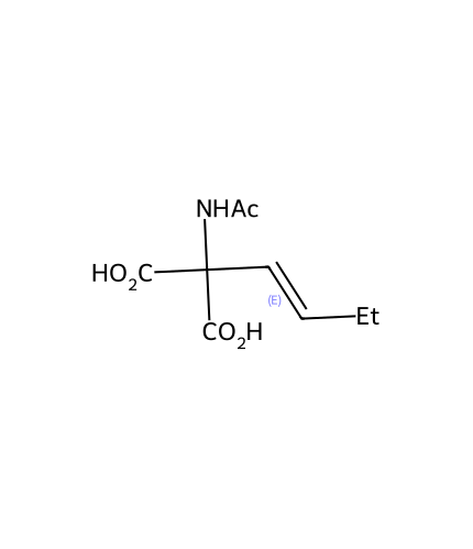 CC/C=C/C(NC(C)=O)(C(=O)O)C(=O)O